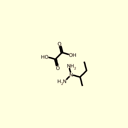 CCC(C)N(N)N.O=C(O)C(=O)O